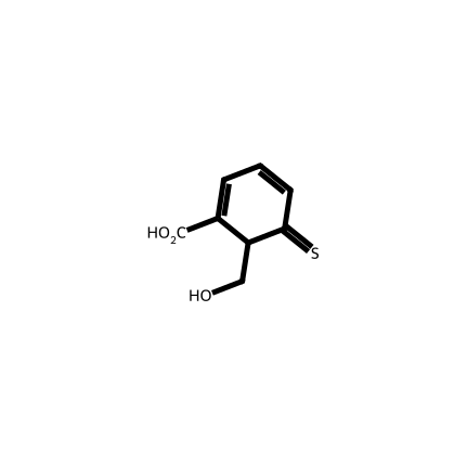 O=C(O)C1=CC=CC(=S)C1CO